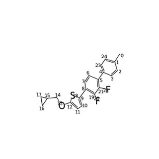 Cc1ccc(-c2ccc(-c3ccc(OCC4CC4)s3)c(F)c2F)cc1